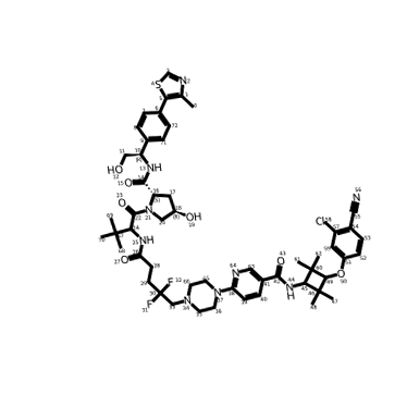 Cc1ncsc1-c1ccc([C@H](CO)NC(=O)[C@@H]2C[C@@H](O)CN2C(=O)C(NC(=O)CCC(F)(F)CN2CCN(c3ccc(C(=O)NC4C(C)(C)C(Oc5ccc(C#N)c(Cl)c5)C4(C)C)cn3)CC2)C(C)(C)C)cc1